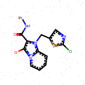 CC(C)NC(=O)c1c([O-])[n+]2ccccc2n1Cc1cnc(Cl)s1